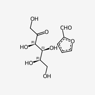 O=C(CO)[C@H](O)[C@@H](O)[C@H](O)CO.O=Cc1ccco1